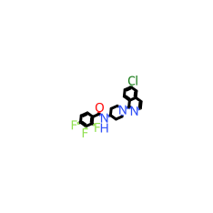 O=C(NC1CCN(c2nccc3cc(Cl)ccc23)CC1)c1ccc(F)c(F)c1F